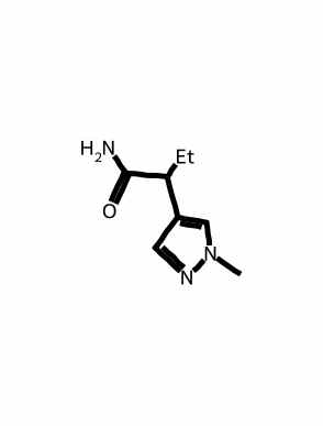 CCC(C(N)=O)c1cnn(C)c1